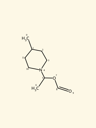 CC1CCN(C(C)O[C]=O)CC1